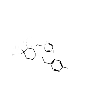 CO[C@H]1[C@@H](Cn2cncn2)[C@H](CCc2ccc(C)cc2)CCC1(C)C